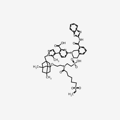 C=CS(=O)(=O)CCCCCC(=O)N(CCOC12CC3(C)CC(C)(CC(Cn4ncc(-c5ccc(N6CCc7cccc(C(=O)Nc8nc9ccccc9s8)c7C6)nc5C(=O)O)c4C)(C3)C1)C2)CCS(=O)(=O)O